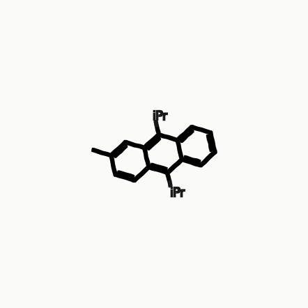 Cc1ccc2c(C(C)C)c3ccccc3c(C(C)C)c2c1